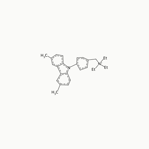 CC[N+](CC)(CC)Cc1ccc(-n2c3ccc(C)cc3c3cc(C)ccc32)cc1